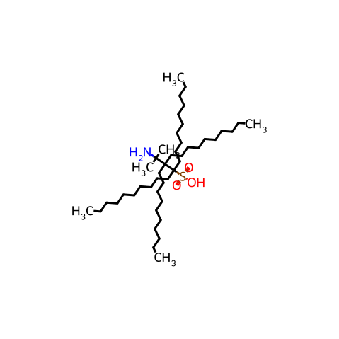 CCCCCCCCCCC(CCCCCCCCCC)(C(C)(C)N)C(CCCCCCCCCC)(CCCCCCCCCC)S(=O)(=O)O